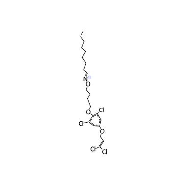 CCCCCCCC/C=N/OCCCCOc1c(Cl)cc(OCC=C(Cl)Cl)cc1Cl